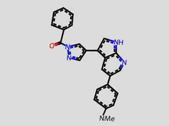 CNc1ccc(-c2cnc3[nH]cc(-c4cnn(C(=O)c5ccccc5)c4)c3c2)cc1